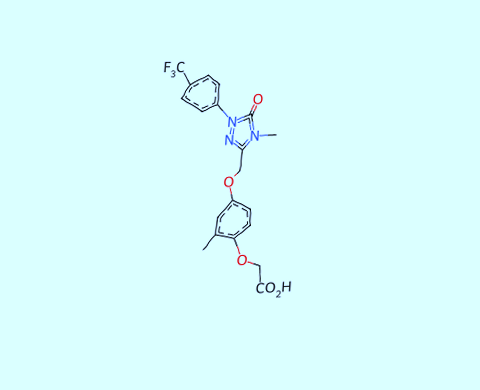 Cc1cc(OCc2nn(-c3ccc(C(F)(F)F)cc3)c(=O)n2C)ccc1OCC(=O)O